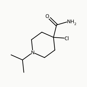 CC(C)N1CCC(Cl)(C(N)=O)CC1